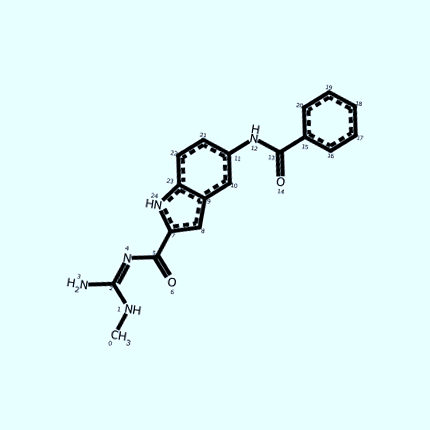 CNC(N)=NC(=O)c1cc2cc(NC(=O)c3ccccc3)ccc2[nH]1